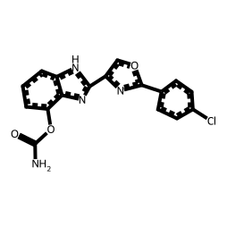 NC(=O)Oc1cccc2[nH]c(-c3coc(-c4ccc(Cl)cc4)n3)nc12